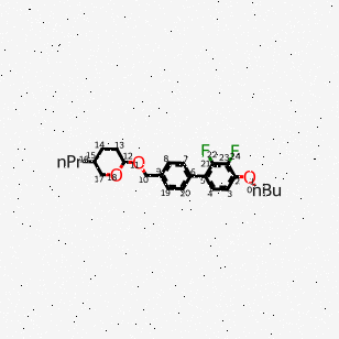 CCCCOc1ccc(-c2ccc(COC3CCC(CCC)CO3)cc2)c(F)c1F